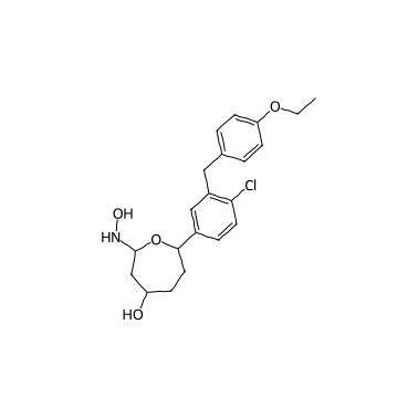 CCOc1ccc(Cc2cc(C3CCC(O)CC(NO)O3)ccc2Cl)cc1